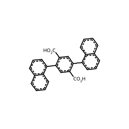 O=C(O)c1cc(-c2cccc3ccccc23)c(C(=O)O)cc1-c1cccc2ccccc12